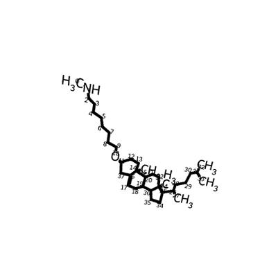 CNCCCCCCCCOC1CCC2(C)C(=CCC3C2CCC2(C)C(C(C)CCCC(C)C)CCC32)C1